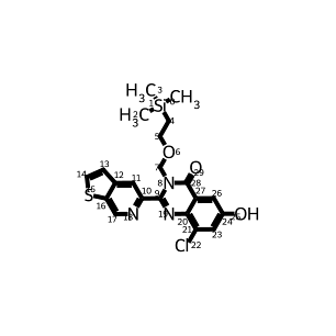 C[Si](C)(C)CCOCn1c(-c2cc3ccsc3cn2)nc2c(Cl)cc(O)cc2c1=O